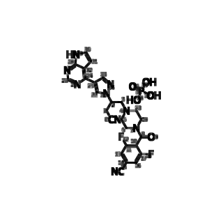 N#CCC(CN1CCN(C(=O)c2c(F)cc(C#N)cc2F)CC1)n1cc(-c2ncnc3[nH]ccc23)cn1.O=P(O)(O)O